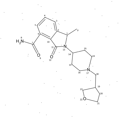 CC1c2cccc(C(N)=O)c2C(=O)N1C1CCN(CC2CCOC2)CC1